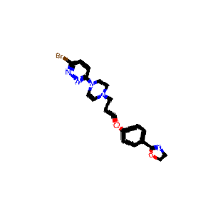 Brc1ccc(N2CCN(CCCOc3ccc(C4=NCCO4)cc3)CC2)nn1